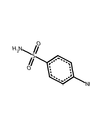 Nc1[c]cc(S(N)(=O)=O)cc1